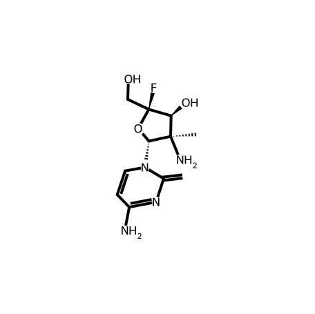 C=C1N=C(N)C=CN1[C@@H]1O[C@](F)(CO)[C@@H](O)[C@@]1(C)N